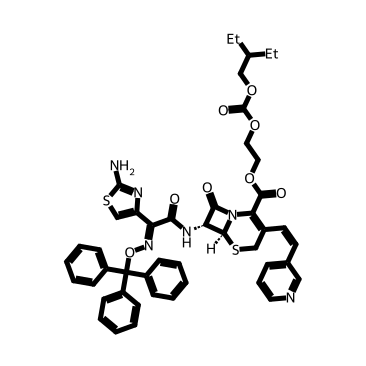 CCC(CC)COC(=O)OCCOC(=O)C1=C(/C=C\c2cccnc2)CS[C@H]2[C@H](NC(=O)C(=NOC(c3ccccc3)(c3ccccc3)c3ccccc3)c3csc(N)n3)C(=O)N12